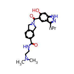 CCCc1n[nH]c2cc(O)c(C(=O)N3Cc4ccc(C(=O)NCCN(C)C)cc4C3)cc12